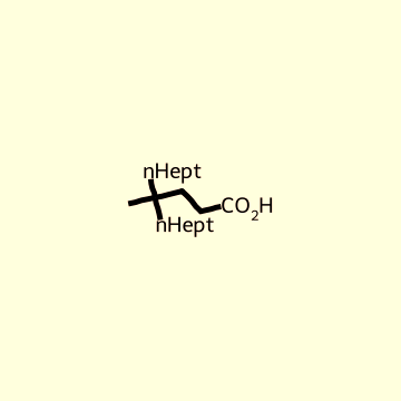 CCCCCCCC(C)(CCCCCCC)CCC(=O)O